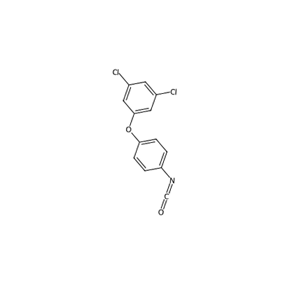 O=C=Nc1ccc(Oc2cc(Cl)cc(Cl)c2)cc1